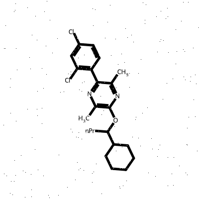 CCCC(Oc1nc(C)c(-c2ccc(Cl)cc2Cl)nc1C)C1CCCCC1